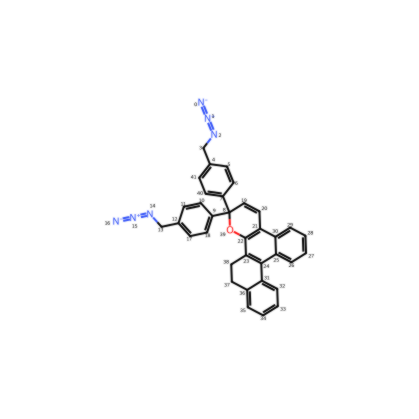 [N-]=[N+]=NCc1ccc(C2(c3ccc(CN=[N+]=[N-])cc3)C=Cc3c(c4c(c5ccccc35)-c3ccccc3CC4)O2)cc1